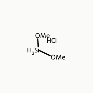 CO[SiH2]OC.Cl